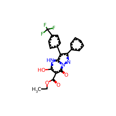 CCOC(=O)c1c(O)[nH]c2c(-c3ccc(C(F)(F)F)cc3)c(-c3ccccc3)nn2c1=O